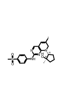 C[C@@]1(O)CCC[C@H]1N1CC(I)=Cc2cnc(Nc3ccc(S(C)(=O)=O)cc3)nc21